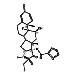 C[C@]12C=CC(=O)C=C1CCC1C3C[C@@H](CF)[C@](OC(=O)c4ccco4)(C(=O)S(=O)(=O)CF)[C@@]3(C)C[C@H](O)C12F